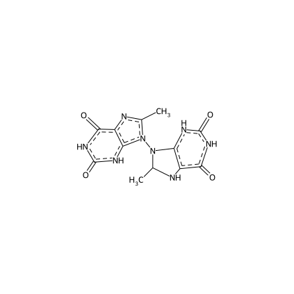 Cc1nc2c(=O)[nH]c(=O)[nH]c2n1N1c2[nH]c(=O)[nH]c(=O)c2NC1C